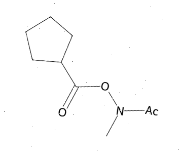 CC(=O)N(C)OC(=O)C1CCCC1